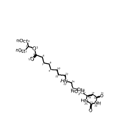 CCCCCCCCC(CCCCCCCC)OC(=O)CCCCCCCNCCO.O=C(O)c1cc(=O)[nH]c(=O)[nH]1